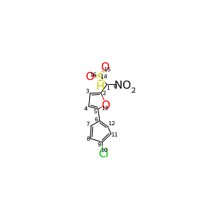 O=[N+]([O-])C(c1ccc(-c2ccc(Cl)cc2)o1)[SH](=O)=O